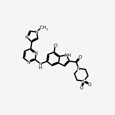 Cn1cnc(-c2ccnc(Nc3cc(Cl)c4[nH]c(C(=O)N5CCS(=O)(=O)CC5)cc4c3)n2)c1